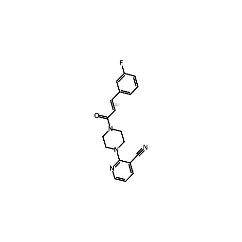 N#Cc1cccnc1N1CCN(C(=O)/C=C/c2cccc(F)c2)CC1